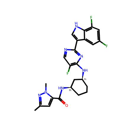 Cc1cc(C(=O)N[C@@H]2CCC[C@H](Nc3nc(-c4c[nH]c5c(F)cc(F)cc45)ncc3F)C2)n(C)n1